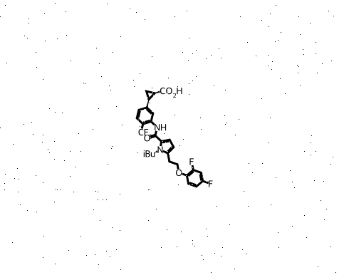 CC[C@H](C)n1c(CCOc2ccc(F)cc2F)ccc1C(=O)Nc1cc([C@H]2C[C@H]2C(=O)O)ccc1C(F)(F)F